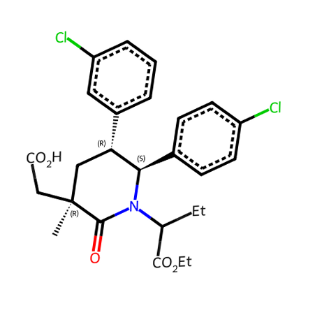 CCOC(=O)C(CC)N1C(=O)[C@@](C)(CC(=O)O)C[C@H](c2cccc(Cl)c2)[C@H]1c1ccc(Cl)cc1